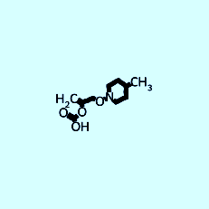 C=C(CON1CCC(C)CC1)OC(=O)O